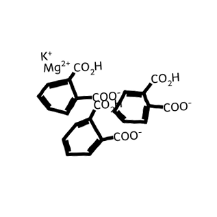 O=C([O-])c1ccccc1C(=O)O.O=C([O-])c1ccccc1C(=O)O.O=C([O-])c1ccccc1C(=O)O.[K+].[Mg+2]